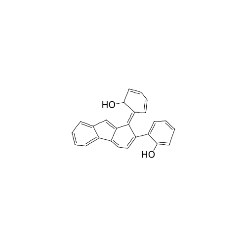 Oc1ccccc1-c1ccc2c(c1=C1C=CC=CC1O)=Cc1ccccc1-2